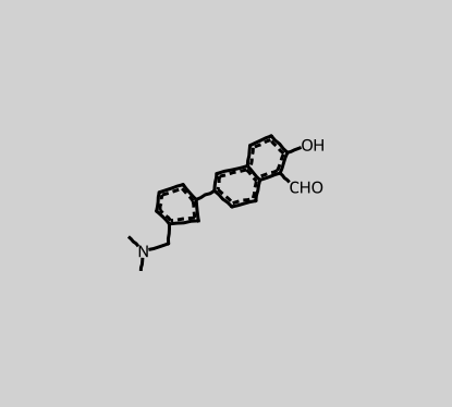 CN(C)Cc1cccc(-c2ccc3c(C=O)c(O)ccc3c2)c1